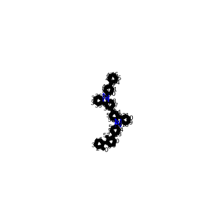 Cc1ccccc1-c1cccc(-c2ccc(-n3c4ccccc4c4cc(-c5ccc6c(c5)c5ccccc5n6-c5ccc(-c6ccccc6)cc5)ccc43)cc2)c1C